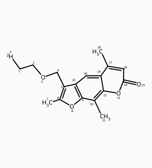 [2H]CCOCc1c(C)oc2c(C)c3oc(=O)cc(C)c3cc12